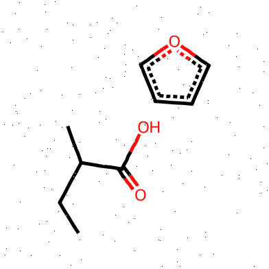 CCC(C)C(=O)O.c1ccoc1